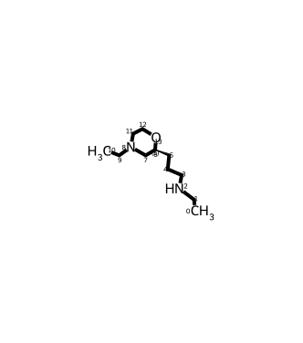 CCNCCC[C@H]1CN(CC)CCO1